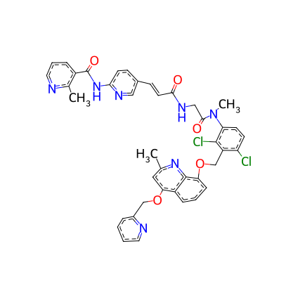 Cc1cc(OCc2ccccn2)c2cccc(OCc3c(Cl)ccc(N(C)C(=O)CNC(=O)C=Cc4ccc(NC(=O)c5cccnc5C)nc4)c3Cl)c2n1